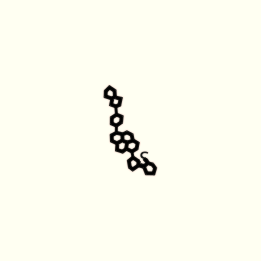 c1ccc2cc(-c3ccc(-c4ccc5ccc6c(-c7cccc8c7sc7ccccc78)ccc7ccc4c5c76)cc3)ccc2c1